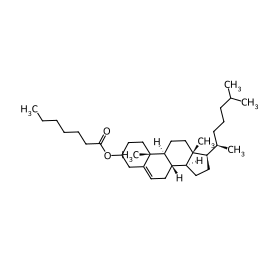 CCCCCCC(=O)OC1CC[C@@]2(C)C(=CC[C@H]3[C@@H]4CC[C@H]([C@H](C)CCCC(C)C)[C@@]4(C)CC[C@@H]32)C1